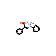 CC(C)(C)N(/C=C(\C(=O)C(F)(F)F)c1ccccc1)c1ccccc1